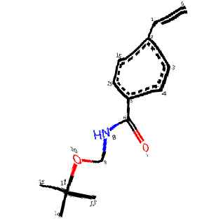 C=Cc1ccc(C(=O)NCOC(C)(C)C)cc1